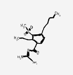 CCCCCc1ccc(C(=O)N=C(N)N)c(CCC)c1S(C)(=O)=O